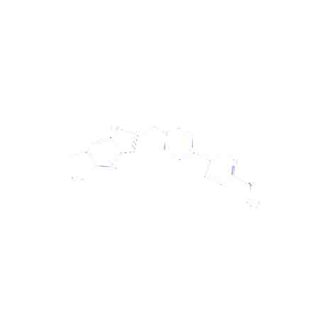 CCc1cc2[nH]c(CN3CCN(c4ccc(C(=O)NC)nc4)CC3)cc2nc1OC